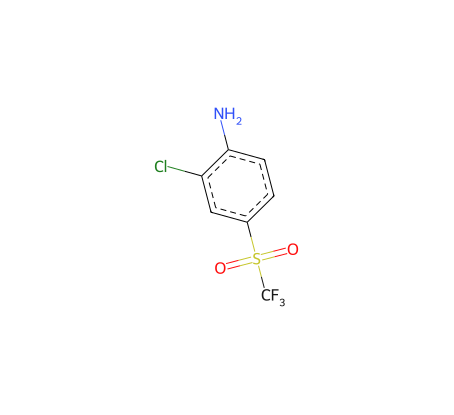 Nc1ccc(S(=O)(=O)C(F)(F)F)cc1Cl